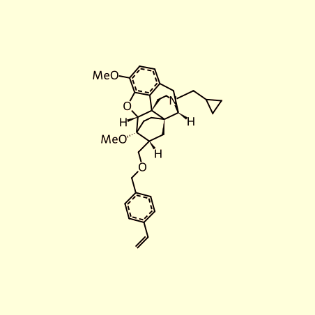 C=Cc1ccc(COC[C@H]2C[C@@]34CC[C@]2(OC)[C@@H]2Oc5c(OC)ccc6c5[C@@]23CCN(CC2CC2)[C@@H]4C6)cc1